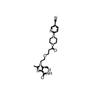 Cc1nc2c(=O)[nH]ncc2n1CCOCCC(=O)N1CCN(c2ccc(C#N)cn2)CC1